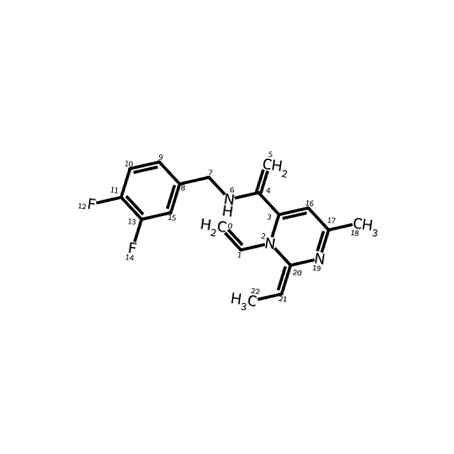 C=CN1C(C(=C)NCc2ccc(F)c(F)c2)=CC(C)=N/C1=C/C